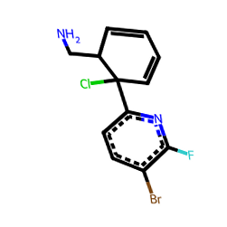 NCC1C=CC=CC1(Cl)c1ccc(Br)c(F)n1